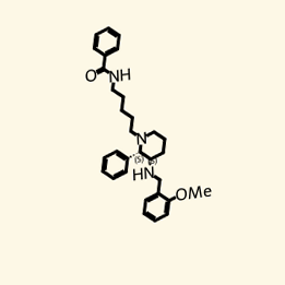 COc1ccccc1CN[C@H]1CCCN(CCCCCNC(=O)c2ccccc2)[C@H]1c1ccccc1